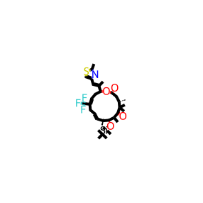 C/C(=C\c1csc(C)n1)C1C/C=C(/C(F)(F)F)C/C=C/[C@H](C)[C@H](O[Si](C)(C)C(C)(C)C)C(C)C(=O)C(C)(C)[C@@H](C)CC(=O)O1